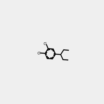 CCC(CC)c1ccc(Cl)c(Cl)c1